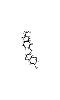 CSc1nc2ccc(Cn3cnc4cc(Br)cnc43)cc2s1